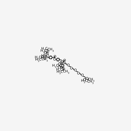 CC(C)(C)OC(=O)CCOCCOCCOCCOCCOCCN(C(=O)OCc1ccc(OC(=O)c2ccc(NC(=NC(=O)OC(C)(C)C)NC(=O)OC(C)(C)C)cc2)cc1)C(CC(=O)OC(C)(C)C)C(=O)OC(C)(C)C